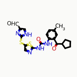 Cc1ccc(NC(=O)Nc2ncc(Sc3nc(C=O)c[nH]3)s2)c(C(=O)C2CCCC2)c1